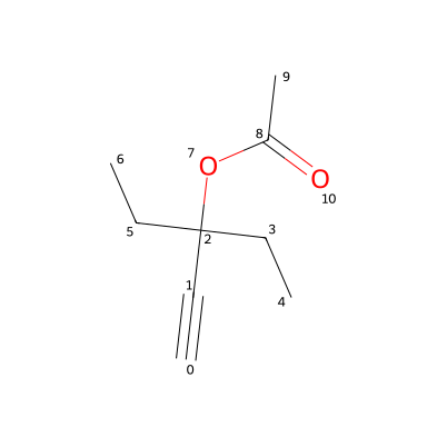 C#CC(CC)(CC)OC(C)=O